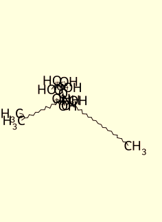 CCCCCCCCCCCCCCCCCCCCCCC[C@@H](O)C(=O)N[C@@H](COC1O[C@H](CO)[C@H](O)[C@H](O)[C@H]1O)[C@H](O)[C@H](O)CCCCCCCCCCCC(C)CC